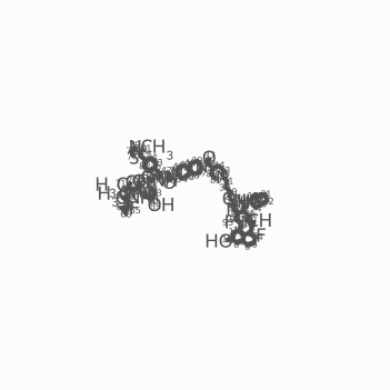 C#Cc1c(F)ccc2cc(O)cc(-c3ncc4c(N5CC6CCC(C5)N6)nc(OCCCN5CCC(C(=O)N6CCC7(CCN(C(=O)C[C@H](NC(=O)[C@@H]8C[C@@H](O)CN8C(=O)[C@@H](NC(=O)C8(F)CC8)C(C)(C)C)c8ccc(-c9scnc9C)cc8)CC7)CC6)CC5)nc4c3F)c12